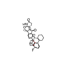 O=C1CCN(N2C(=O)c3ccc(CN4C5CC4CN(C(=O)C4=C(c6ccc(F)cc6)CCCC4)C5)cc3C2=O)C(=O)N1